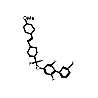 COC1CCC(/C=C/C2CCC(C(F)(F)Oc3cc(F)c(-c4cccc(F)c4)c(F)c3)CC2)CC1